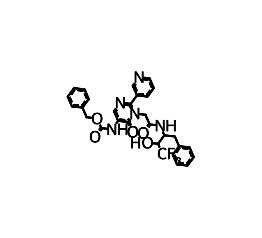 O=C(Cn1c(-c2cccnc2)ncc(NC(=O)OCc2ccccc2)c1=O)NC(Cc1ccccc1)C(O)C(F)(F)F